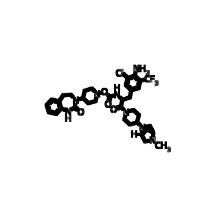 CN1C[C@H]2CC1CN2C1CCN(C(=O)C(Cc2cc(Cl)c(N)c(C(F)(F)F)c2)NC(=O)ON2CCC(N3CCc4ccccc4NC3=O)CC2)CC1